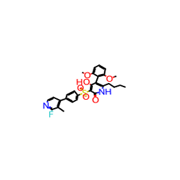 CCCCc1[nH]c(=O)c(S(=O)(=O)c2ccc(-c3ccnc(F)c3C)cc2)c(O)c1-c1c(OC)cccc1OC